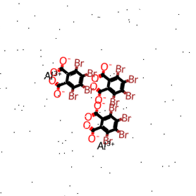 O=C([O-])c1c(Br)c(Br)c(Br)c(Br)c1C(=O)[O-].O=C([O-])c1c(Br)c(Br)c(Br)c(Br)c1C(=O)[O-].O=C([O-])c1c(Br)c(Br)c(Br)c(Br)c1C(=O)[O-].[Al+3].[Al+3]